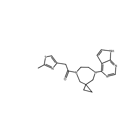 Cc1nc(CC(=O)N2CCN(c3ncnc4[nH]ccc34)CC3(CC3)C2)cs1